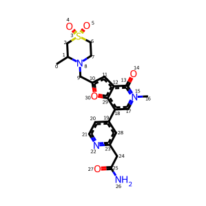 CC1CS(=O)(=O)CCN1Cc1cc2c(=O)n(C)cc(-c3ccnc(CC(N)=O)c3)c2o1